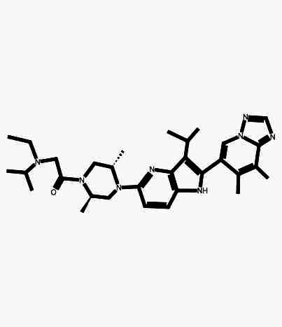 CCN(CC(=O)N1C[C@H](C)N(c2ccc3[nH]c(-c4cn5ncnc5c(C)c4C)c(C(C)C)c3n2)C[C@H]1C)C(C)C